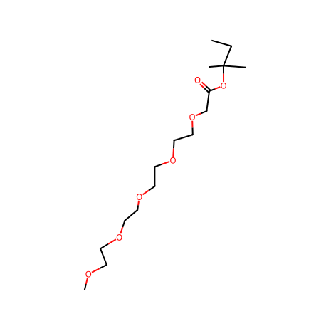 CCC(C)(C)OC(=O)COCCOCCOCCOCCOC